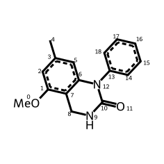 COc1cc(C)cc2c1CNC(=O)N2c1ccccc1